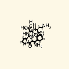 CCC(=O)[C@H](CCN)NC(=O)[C@@H](NC(=O)[C@@H]1CCCN1C(=O)CC(N)C1CCCCC1)C(C)O